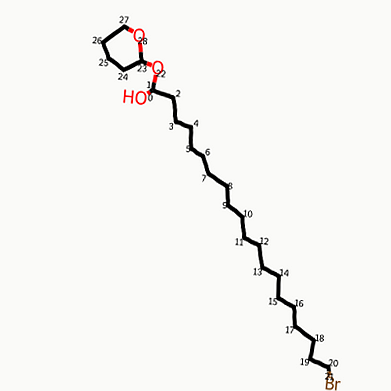 OC(CCCCCCCCCCCCCCCCCCCBr)OC1CCCCO1